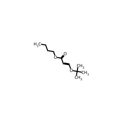 CCCCOC(=O)C=COC(C)(C)C